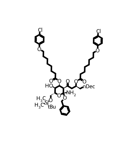 CCCCCCCCCCC[C@@H](CC(=O)[C@@H]1[C@@H](OC(=O)CCCCCCCOc2ccc(Cl)cc2)[C@H](O)[C@@H](CO[Si](C)(C)C(C)(C)C)O[C@@]1(N)OCc1ccccc1)OC(=O)CCCCCCCOc1ccc(Cl)cc1